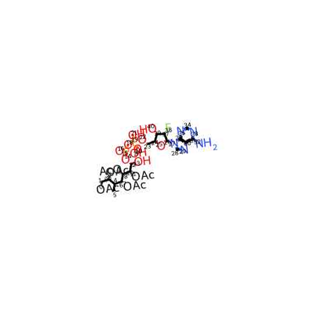 CC(=O)OC[C@@H](OC(C)=O)C(C)C(OC(C)=O)C(OC(C)=O)C(OC(C)=O)C(O)OP(=O)(O)OP(=O)(O)OCC1OC(n2cnc3c(N)ncnc32)C(F)C1O